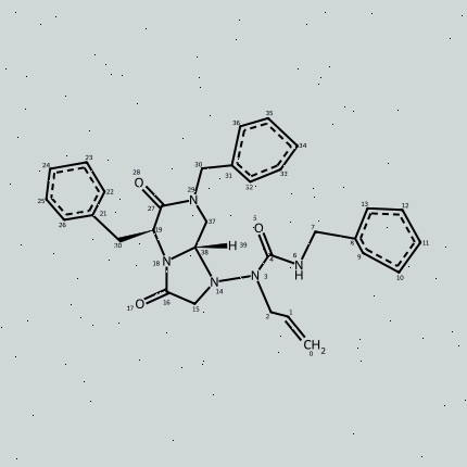 C=CCN(C(=O)NCc1ccccc1)N1CC(=O)N2[C@@H](Cc3ccccc3)C(=O)N(Cc3ccccc3)C[C@@H]21